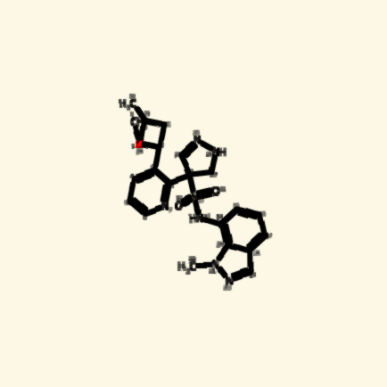 COC1(c2cccnc2C2(S(=O)(=O)Nc3cccc4cnn(C)c34)C=NNC2)CC(C)C1